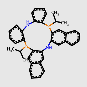 CC(C)P1c2ccccc2Nc2ccccc2P(C(C)C)c2cc3ccccc3cc2Nc2cc3ccccc3cc21